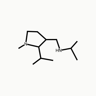 CC(C)NCC1CCN(C)C1C(C)C